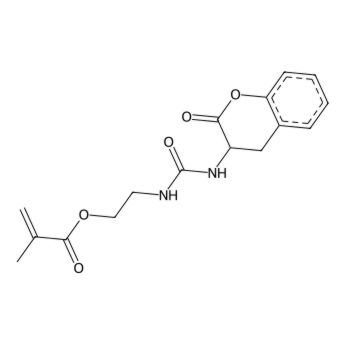 C=C(C)C(=O)OCCNC(=O)NC1Cc2ccccc2OC1=O